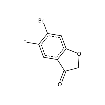 O=C1COc2cc(Br)c(F)cc21